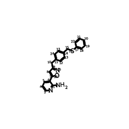 Nc1ncccc1-c1cc(Cc2ccc(CSc3ccccc3)cc2)no1